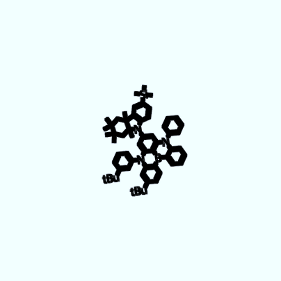 CC(C)(C)c1cccc(N2c3cc(C(C)(C)C)ccc3B3c4ccccc4N(c4ccccc4)c4cc(N5c6ccc([Si](C)(C)C)cc6C6(C)CC(C)(C)C(C)(C)CC56C)cc2c43)c1